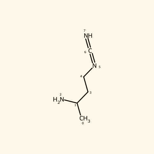 CC(N)CCN=C=N